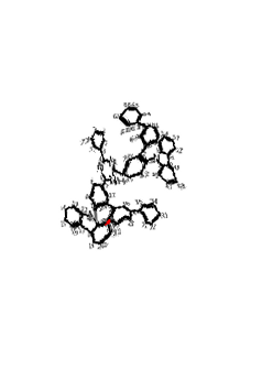 c1ccc(C2=NC(c3ccc(-n4c5ccccc5c5ccccc54)c(-c4cccc(-c5ccccc5)c4)c3)NC(c3ccc(-n4c5ccccc5c5ccccc54)c(-c4cccc(-c5ccccc5)c4)c3)=N2)cc1